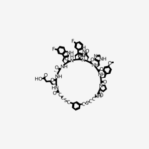 COc1ccc(C[C@@H]2NC(=O)[C@H](Cc3cnc[nH]3)NC(=O)[C@H](CC(=O)O)NC(=O)[C@H](Cc3c[nH]c4ccc(F)cc34)NC(=O)[C@H](Cc3c[nH]c4ccc(F)cc34)NC(=O)[C@@H](C)NC(=O)[C@H](CCCC(=O)O)NC(=O)CCSCc3cccc(c3)CSCCNC(=O)[C@]3(C)CCCN3C2=O)cc1